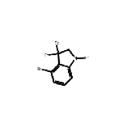 CCN1CC(CC)(CC)c2c(Br)cccc21